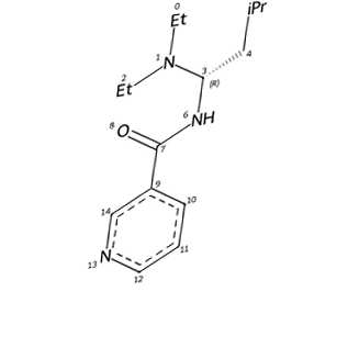 CCN(CC)[C@H](CC(C)C)NC(=O)c1cccnc1